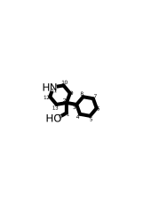 OCC1(C2CCCCC2)CCNCC1